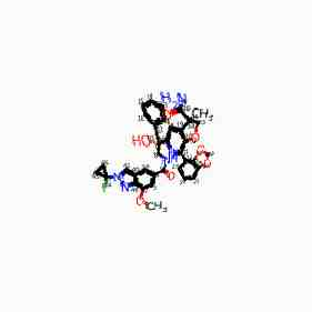 COc1cc(C(=O)NC[C@@](O)(c2ccccc2)c2cc3c(c(-c4cccc5c4OCO5)n2)OC[C@]3(C)C(N)=O)cc2cn(C3(F)CC3)nc12